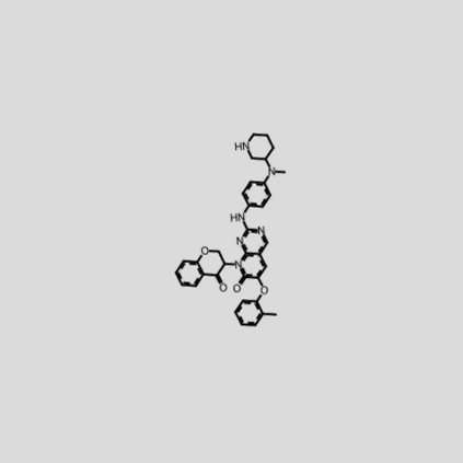 Cc1ccccc1Oc1cc2cnc(Nc3ccc(N(C)C4CCCNC4)cc3)nc2n(C2COc3ccccc3C2=O)c1=O